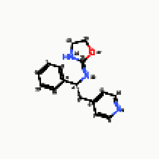 c1ccc([C@@H](Cc2ccncc2)/N=C2\NCCO2)cc1